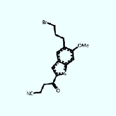 COc1cc2sc(C(=O)CCC#N)cc2cc1CCCBr